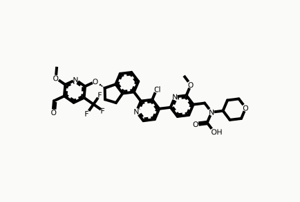 COc1nc(O[C@H]2CCc3c(-c4nccc(-c5ccc(CN(C(=O)O)C6CCOCC6)c(OC)n5)c4Cl)cccc32)c(C(F)(F)F)cc1C=O